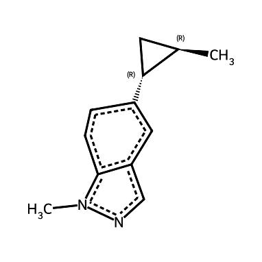 C[C@@H]1C[C@H]1c1ccc2c(cnn2C)c1